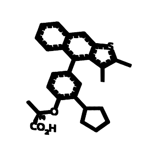 Cc1sc2cc3ccccc3c(-c3ccc(O[C@H](C)C(=O)O)c(C4CCCC4)c3)c2c1C